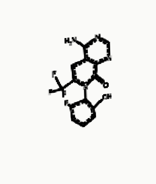 Nc1ncnc2c(=O)n(-c3c(O)cccc3F)c(C(F)(F)F)cc12